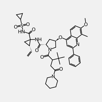 C=C[C@@H]1CC1(NC(=O)[C@@H]1C[C@@H](Oc2cc(-c3ccccc3)nc3c(C)c(OC)ccc23)CN1C(=O)C(CC(=O)N1CCCCC1)C(C)(C)C)C(=O)NS(=O)(=O)C1CC1